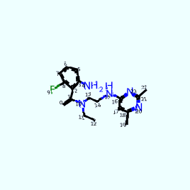 C=C(c1c(N)cccc1F)N(CC)CCNc1cc(C)nc(C)n1